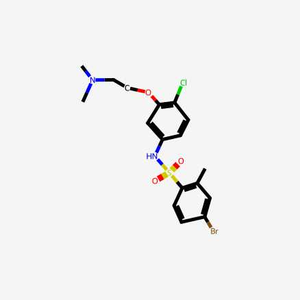 Cc1cc(Br)ccc1S(=O)(=O)Nc1ccc(Cl)c(OCCN(C)C)c1